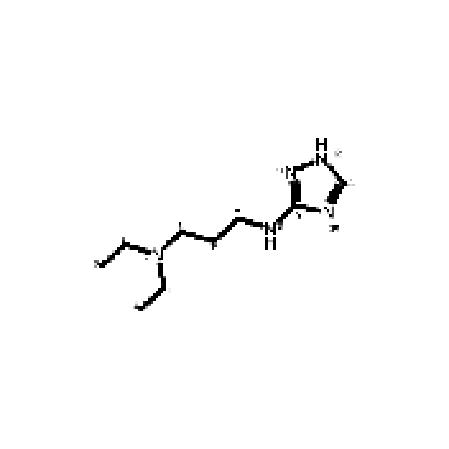 CCN(CC)CCCNc1nc[nH]n1